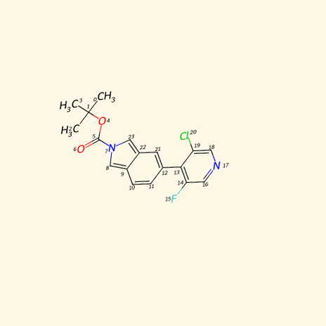 CC(C)(C)OC(=O)n1cc2ccc(-c3c(F)cncc3Cl)cc2c1